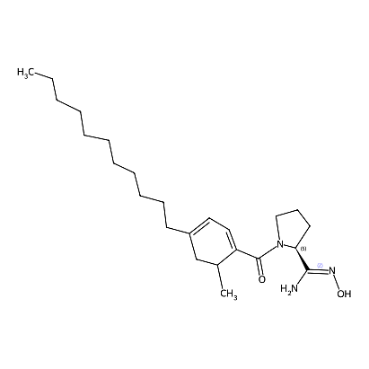 CCCCCCCCCCCC1=CC=C(C(=O)N2CCC[C@H]2/C(N)=N/O)C(C)C1